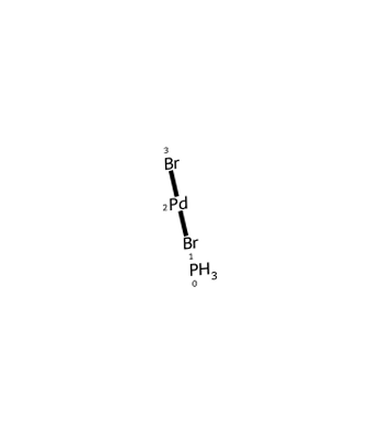 P.[Br][Pd][Br]